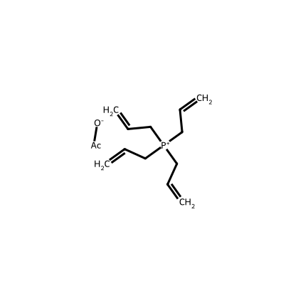 C=CC[P+](CC=C)(CC=C)CC=C.CC(=O)[O-]